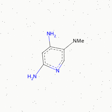 CNc1cnc(N)cc1N